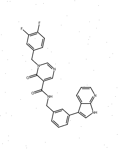 O=C(NCc1cccc(-c2c[nH]c3ncccc23)c1)c1cncn(Cc2ccc(F)c(F)c2)c1=O